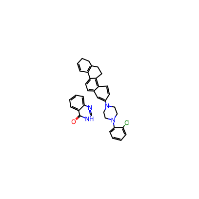 Clc1ccccc1N1CCN(c2ccc3c4c(ccc3c2)C2=C(CCC=C2)CC4)CC1.O=c1[nH]cnc2ccccc12